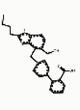 CCCCc1nc2c(Cc3ccc(-c4ccccc4C(=O)O)cc3)c(CO)ccc2[nH]1